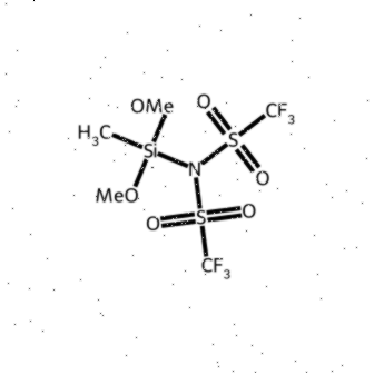 CO[Si](C)(OC)N(S(=O)(=O)C(F)(F)F)S(=O)(=O)C(F)(F)F